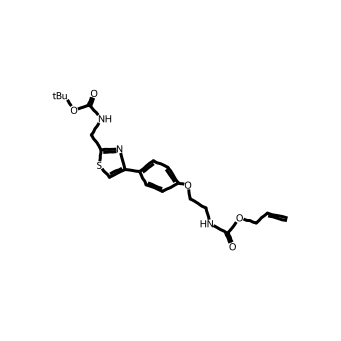 C=CCOC(=O)NCCOc1ccc(-c2csc(CNC(=O)OC(C)(C)C)n2)cc1